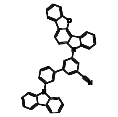 N#Cc1cc(-c2cccc(-n3c4ccccc4c4ccccc43)c2)cc(-n2c3ccccc3c3c4oc5ccccc5c4ccc32)c1